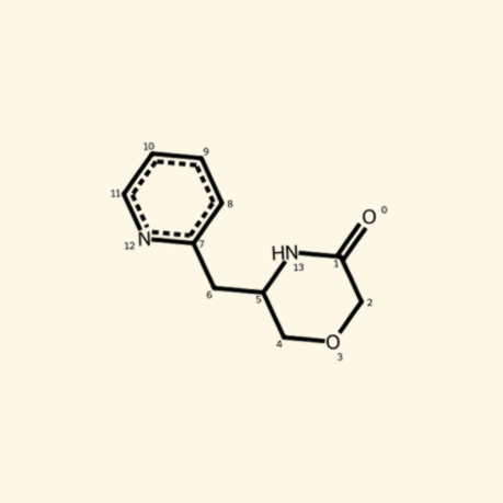 O=C1COCC(Cc2ccccn2)N1